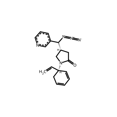 C=C[C@@]1(N2C[C@H](C(N=[N+]=[N-])c3cccnc3)CC2=O)C=CC=CC1